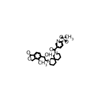 Cc1c(C(O)CN2CCCC3(CCCN(C(=O)c4ccc(S(C)(=O)=O)nc4)C3)C2)ccc2c1COC2=O